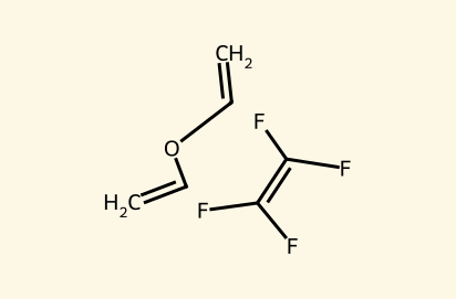 C=COC=C.FC(F)=C(F)F